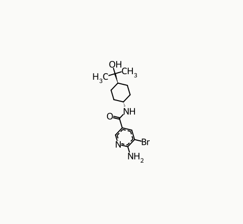 CC(C)(O)[C@H]1CC[C@H](NC(=O)c2cnc(N)c(Br)c2)CC1